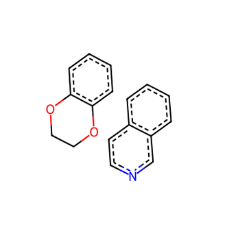 c1ccc2c(c1)OCCO2.c1ccc2cnccc2c1